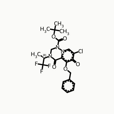 C[C@@H](N1CN(C(=O)OC(C)(C)C)n2cc(Cl)c(=O)c(OCc3ccccc3)c2C1=O)C(F)(F)F